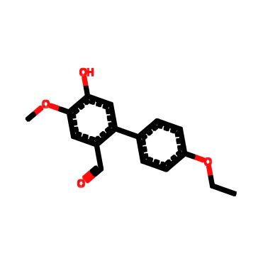 CCOc1ccc(-c2cc(O)c(OC)cc2C=O)cc1